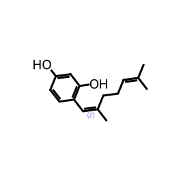 CC(C)=CCC/C(C)=C\c1ccc(O)cc1O